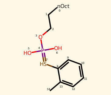 CCCCCCCCCCOP(O)(O)=[SH]c1ccccc1C